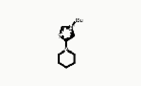 CC(C)(C)[n+]1csc(N2CCCCC2)c1